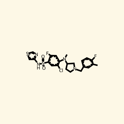 Cc1cc(CN2CCC(N(C)c3cc(F)c(S(=O)(=O)Nc4cscn4)cc3Cl)C2)ccc1F